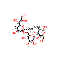 CC(=O)NC1[C@H](O)OC(CO)[C@@H](O[C@@H]2OC(CO[C@]3(C(=O)O)C[C@@H](O)[C@@H](C)C([C@H](O)[C@H](O)CO)O3)[C@H](O)[C@H](O)C2O)[C@@H]1O